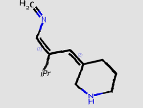 C=N/C=C(\C=C1\CCCNC1)C(C)C